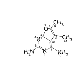 Cc1oc2nc(N)nc(N)c2c1C